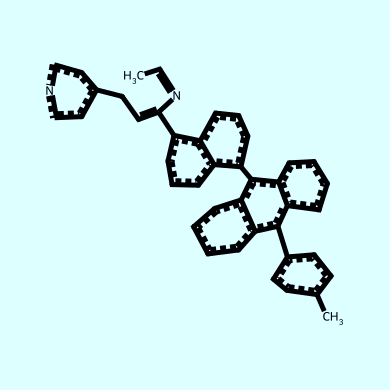 C/C=N\C(=C/Cc1ccncc1)c1cccc2c(-c3c4ccccc4c(-c4ccc(C)cc4)c4ccccc34)cccc12